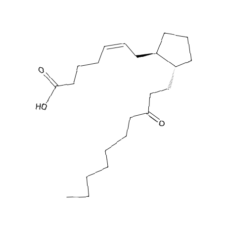 CCCCCCCC(=O)CC[C@H]1CCC[C@@H]1C/C=C\CCCC(=O)O